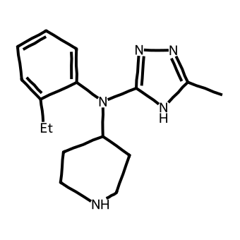 CCc1ccccc1N(c1nnc(C)[nH]1)C1CCNCC1